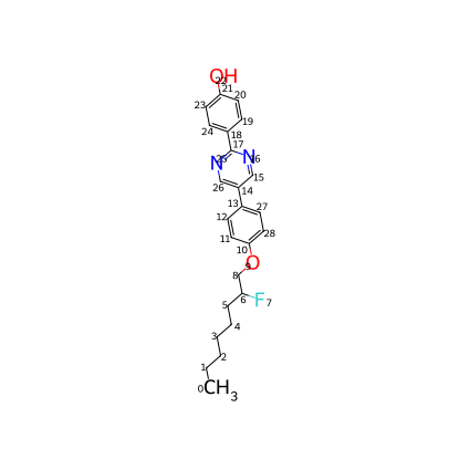 CCCCCCC(F)COc1ccc(-c2cnc(-c3ccc(O)cc3)nc2)cc1